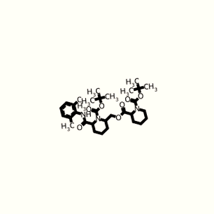 Cc1cccc(C)c1NC(=O)C1CCCC(COC(=O)C2CCCCN2C(=O)OC(C)(C)C)N1C(=O)OC(C)(C)C